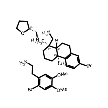 CC(C)c1ccc2c(c1)CC[C@H]1[C@](C)(CN)CCC[C@]21C.COc1cc(Br)c(CCN)cc1OC.NC[C@H]1CCCO1